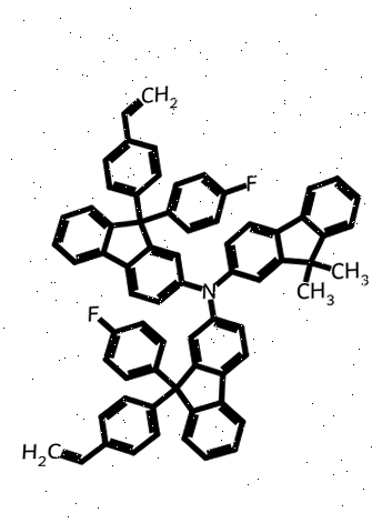 C=Cc1ccc(C2(c3ccc(F)cc3)c3ccccc3-c3ccc(N(c4ccc5c(c4)C(C)(C)c4ccccc4-5)c4ccc5c(c4)C(c4ccc(F)cc4)(c4ccc(C=C)cc4)c4ccccc4-5)cc32)cc1